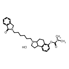 CN(C)C(=O)Oc1cccc2c1CCC1C2CCN1CCCCCCN1Cc2ccccc2C1=O.Cl